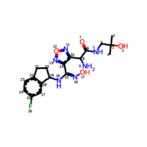 CC(C)(O)CNC(=O)C(N)c1nonc1/C(=N\O)NC1CCc2ccc(F)cc21